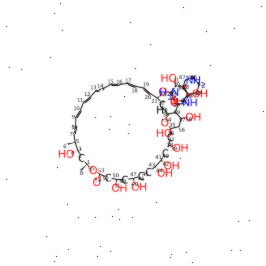 C[C@H]1C[C@H](O)[C@@H](C)/C=C/C=C/C=C/C=C/C=C/C=C/C=C/C(O[C@@H]2OC[C@@H](O)[C@H](N)[C@@H]2O)C[C@@H]2OC(O)(C[C@@H](O)CC(O)C(O)CCC(O)CC(O)CC(=O)O1)C[C@H](O)C2C(=O)N[C@@H]1CCCC[C@H]1N